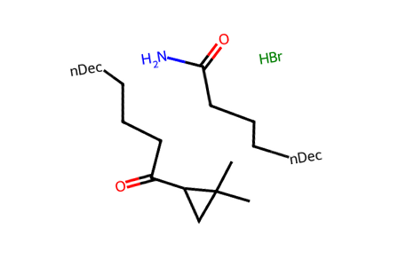 Br.CCCCCCCCCCCCCC(=O)C1CC1(C)C.CCCCCCCCCCCCCC(N)=O